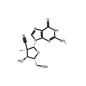 C[C@@]1(C#N)[C@H](O)[C@@H](CO)O[C@H]1n1cnc2c(=O)[nH]c(N)nc21